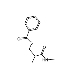 CNC(=O)C(C)CSC(=O)c1ccccc1